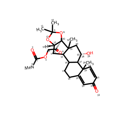 CNC(=O)OCC(=O)[C@@]12OC(C)(C)O[C@H]1CC1C3CCC4=CC(=O)C=CC4(C)C3[C@@H](O)CC12C